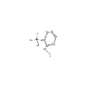 CC(C)(C)c1ccccc1C[S]